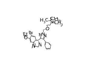 CCOc1cc2ncnc(-c3nn(COCC[Si](C)(C)C)nc3-c3ccccc3)c2cc1Br